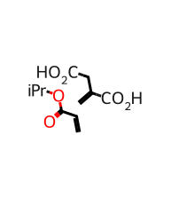 C=C(CC(=O)O)C(=O)O.C=CC(=O)OC(C)C